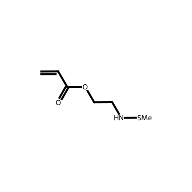 C=CC(=O)OCCNSC